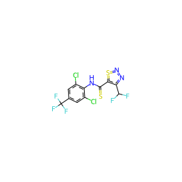 FC(F)c1nnsc1C(=S)Nc1c(Cl)cc(C(F)(F)F)cc1Cl